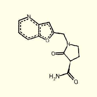 NC(=O)[C@@H]1CCN(Cc2cc3ncccc3o2)C1=O